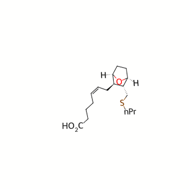 CCCSC[C@@H]1[C@@H](C/C=C\CCCC(=O)O)[C@H]2CC[C@@H]1O2